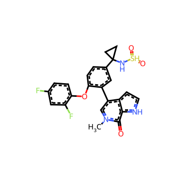 Cn1cc(-c2cc(C3(N[SH](=O)=O)CC3)ccc2Oc2ccc(F)cc2F)c2cc[nH]c2c1=O